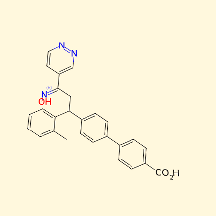 Cc1ccccc1C(C/C(=N\O)c1ccnnc1)c1ccc(-c2ccc(C(=O)O)cc2)cc1